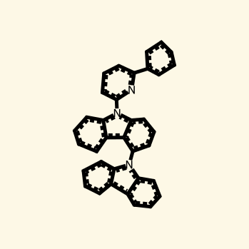 c1ccc(-c2cccc(-n3c4ccccc4c4c(-n5c6ccccc6c6ccccc65)cccc43)n2)cc1